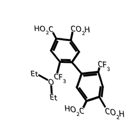 CCOCC.O=C(O)c1cc(-c2cc(C(=O)O)c(C(=O)O)cc2C(F)(F)F)c(C(F)(F)F)cc1C(=O)O